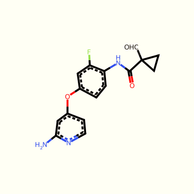 Nc1cc(Oc2ccc(NC(=O)C3(C=O)CC3)c(F)c2)ccn1